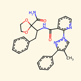 Cc1cn(-c2ncccc2C(=O)NC(Cc2ccccc2)C2(C(N)=O)OCCO2)nc1-c1ccccc1